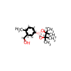 Cc1ccc(B2OC(C)(C)C(C)(C)O2)cc1CO